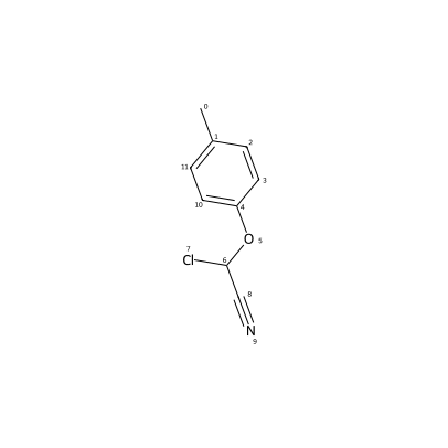 Cc1ccc(OC(Cl)C#N)cc1